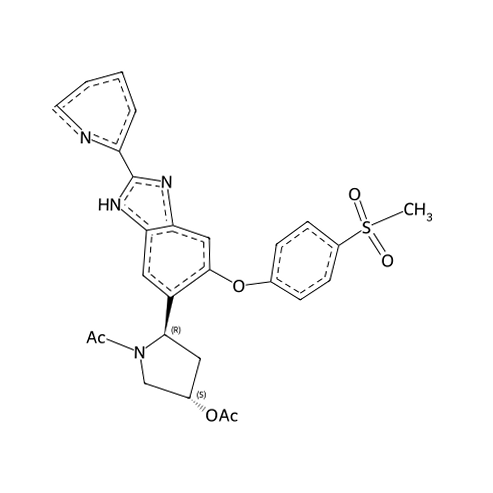 CC(=O)O[C@H]1C[C@H](c2cc3[nH]c(-c4ccccn4)nc3cc2Oc2ccc(S(C)(=O)=O)cc2)N(C(C)=O)C1